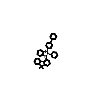 CC1(C)c2ccccc2-c2c(N3c4ccccc4N(c4ccc(-c5ccccc5)cc4)P3c3ccccc3)cccc21